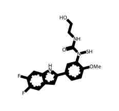 COc1ccc(-c2cc3cc(F)c(F)cc3[nH]2)cc1N(S)C(=O)NCCO